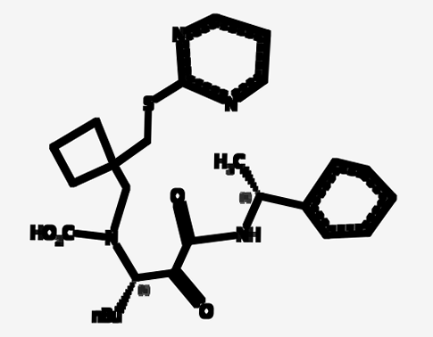 CCCC[C@@H](C(=O)C(=O)N[C@H](C)c1ccccc1)N(CC1(CSc2ncccn2)CCC1)C(=O)O